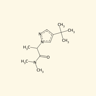 CC(C(=O)N(C)C)n1cc(C(C)(C)C)cn1